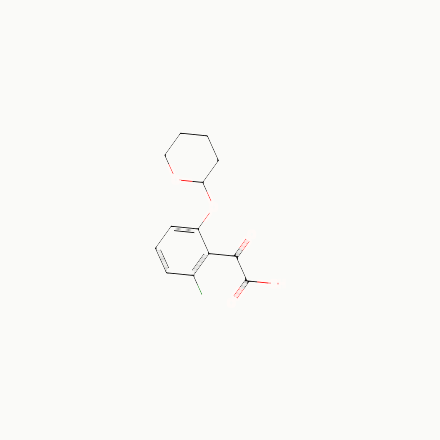 O=C(O)C(=O)c1c(F)cccc1OC1CCCCO1